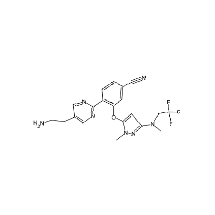 CN(CC(F)(F)F)c1cc(Oc2cc(C#N)ccc2-c2ncc(CCN)cn2)n(C)n1